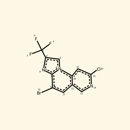 FC(F)(F)c1cn2c(n1)c(Br)cc1cnc(Cl)cc12